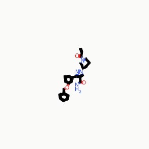 C=CC(=O)N1CCC[C@@H](n2cc(C(N)=O)c(-c3cccc(OCc4ccccc4)c3)n2)C1